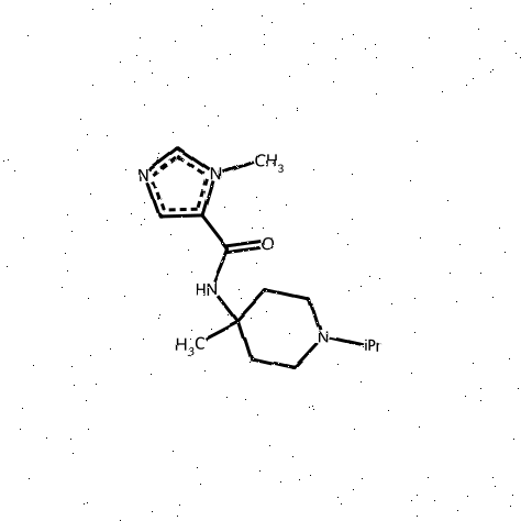 CC(C)N1CCC(C)(NC(=O)c2cncn2C)CC1